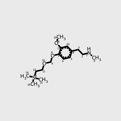 CNCCc1ccc(OCOCC[Si](C)(C)C)c(OC)c1